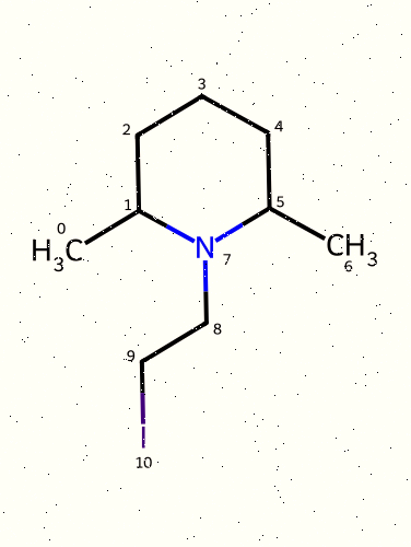 CC1CCCC(C)N1CCI